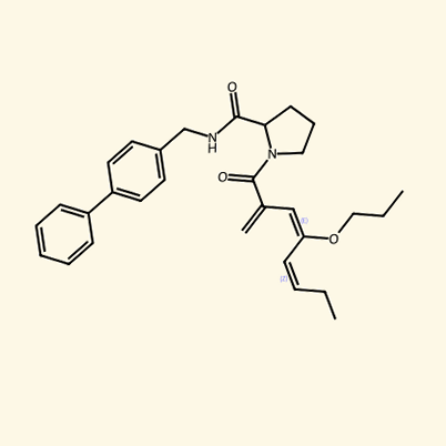 C=C(/C=C(\C=C/CC)OCCC)C(=O)N1CCCC1C(=O)NCc1ccc(-c2ccccc2)cc1